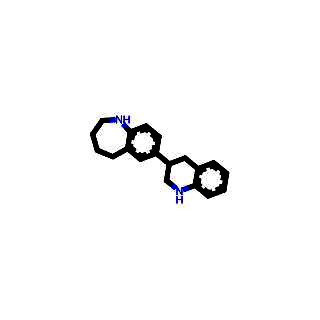 c1ccc2c(c1)CC(c1ccc3c(c1)CCCCN3)CN2